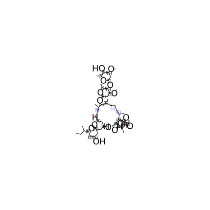 CCC(C)[C@H]1O[C@@]2(C[C@@H]3C[C@@H](C/C=C(\C)[C@@H](O[C@H]4C[C@H](OC)[C@@H](O[C@H]5C[C@H](OC)[C@@H](O)[C@H](C)O5)[C@H](C)O4)[C@@H](C)/C=C/C=C4\CO[C@@H]5[C@H](OC)C(C)=C[C@@H](C(=O)O3)[C@]45O)O2)C[C@H](O)[C@@H]1C